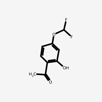 CC(=O)c1ccc(OC(F)F)cc1O